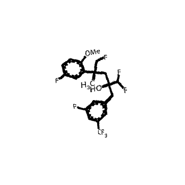 COc1ccc(F)cc1C(C)(CF)CC(O)(Cc1cc(F)cc(C(F)(F)F)c1)C(F)F